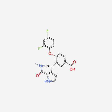 Cn1cc(-c2cc(C(=O)O)ccc2Oc2ccc(F)cc2F)c2cc[nH]c2c1=O